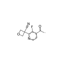 [CH2]C(=O)c1ccnc(C2(C#N)COC2)c1F